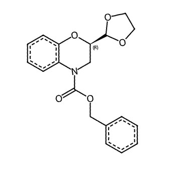 O=C(OCc1ccccc1)N1C[C@H](C2OCCO2)Oc2ccccc21